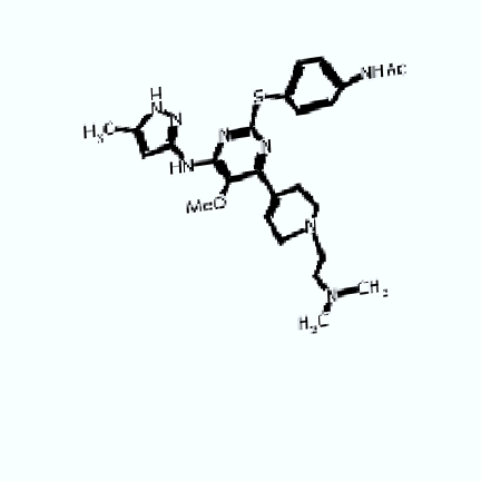 COc1c(Nc2cc(C)[nH]n2)nc(Sc2ccc(NC(C)=O)cc2)nc1C1=CCN(CCN(C)C)CC1